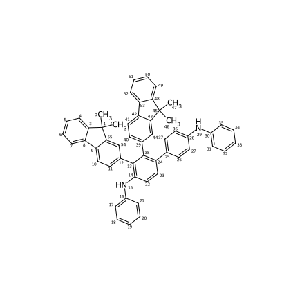 CC1(C)c2ccccc2-c2ccc(-c3c(Nc4ccccc4)ccc(-c4ccc(Nc5ccccc5)cc4)c3-c3ccc4c(c3)C(C)(C)c3ccccc3-4)cc21